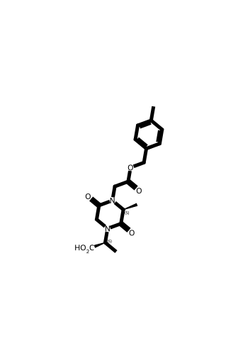 Cc1ccc(COC(=O)CN2C(=O)CN([C@@H](C)C(=O)O)C(=O)[C@@H]2C)cc1